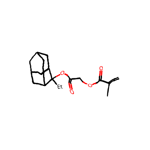 C=C(C)C(=O)OCC(=O)OC1(CC)C2CC3CC(C2)CC1C3